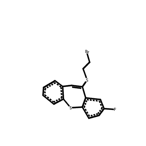 Fc1ccc2c(c1)C(SCCBr)=Cc1ccccc1S2